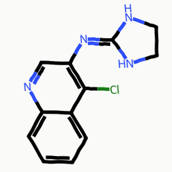 Clc1c(N=C2NCCN2)cnc2ccccc12